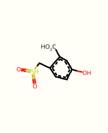 O=C(O)c1cc(O)ccc1C[SH](=O)=O